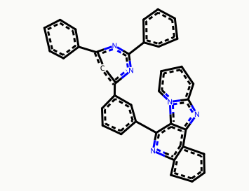 c1ccc(-c2cc(-c3cccc(-c4nc5ccccc5c5nc6ccccn6c45)c3)nc(-c3ccccc3)n2)cc1